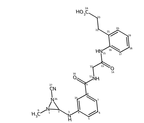 CN1C(Nc2cccc(C(=O)NCC(=O)Nc3ccccc3CCC(=O)O)c2)N1C#N